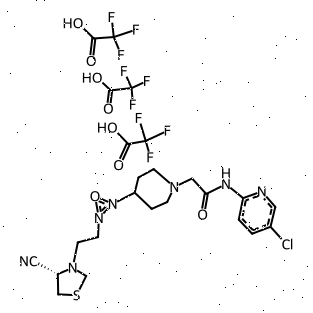 N#C[C@H]1CSCN1CCn1on1C1CCN(CC(=O)Nc2ccc(Cl)cn2)CC1.O=C(O)C(F)(F)F.O=C(O)C(F)(F)F.O=C(O)C(F)(F)F